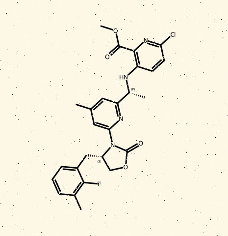 COC(=O)c1nc(Cl)ccc1N[C@H](C)c1cc(C)cc(N2C(=O)OC[C@@H]2Cc2cccc(C)c2F)n1